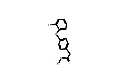 CC(C)(C)OC(=O)Cc1ccc(Oc2ccccc2S)cc1